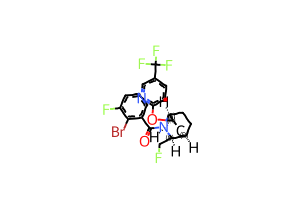 O=C(c1cccc(F)c1Br)N1[C@H](CF)[C@@H]2CC[C@H]1[C@H](Oc1ccc(C(F)(F)F)cn1)C2